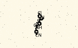 Cc1c(Oc2ccnc3cc(Cl)ccc23)cccc1C(=O)NCc1ccc(C#N)cc1